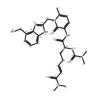 Cc1ccc(NC(=O)[C@H](CC/C=C/C(=O)N(C)C)OC(=O)N(C)C)c(=O)n1Cc1nc2c(CC(C)C)cccc2[nH]1